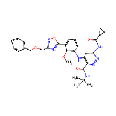 BC(B)(B)NC(=O)c1nnc(NC(=O)C2CC2)cc1Nc1cccc(-c2nc(COCc3ccccc3)no2)c1OC